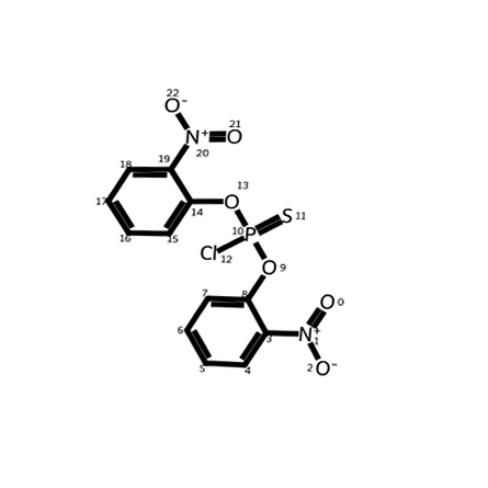 O=[N+]([O-])c1ccccc1OP(=S)(Cl)Oc1ccccc1[N+](=O)[O-]